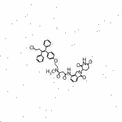 CN(CCOc1ccc(C(=C(CCCl)c2ccccc2)c2ccccc2)cc1)C(=O)CC(=O)Nc1cccc2c1CN(C1CCC(=O)NC1=O)C2=O